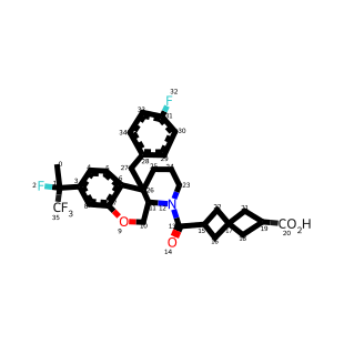 CC(F)(c1ccc2c(c1)OCC1N(C(=O)C3CC4(CC(C(=O)O)C4)C3)CCCC21Cc1ccc(F)cc1)C(F)(F)F